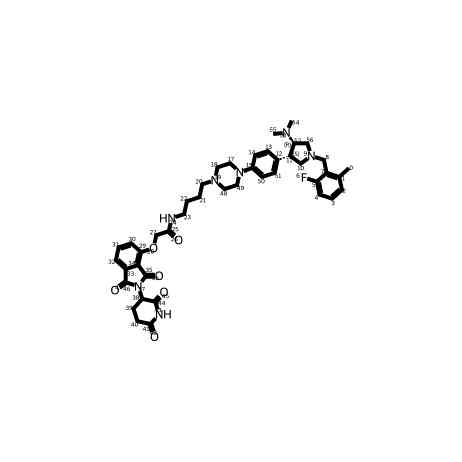 Cc1cccc(F)c1CN1C[C@H](c2ccc(N3CCN(CCCCNC(=O)COc4cccc5c4C(=O)N(C4CCC(=O)NC4=O)C5=O)CC3)cc2)[C@@H](N(C)C)C1